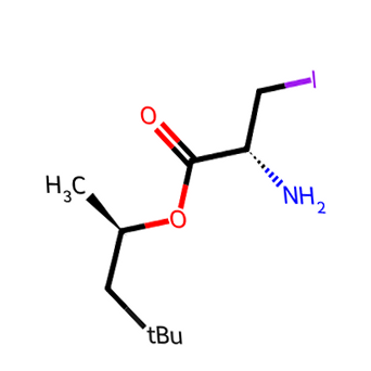 C[C@H](CC(C)(C)C)OC(=O)[C@@H](N)CI